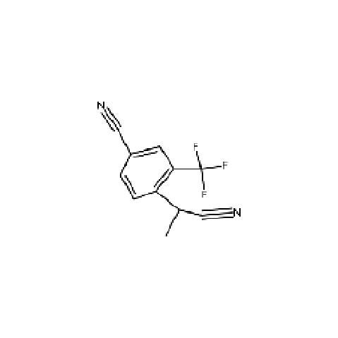 CC(C#N)c1ccc(C#N)cc1C(F)(F)F